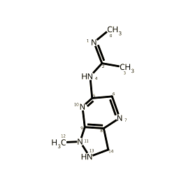 C/N=C(\C)Nc1cnc2c(n1)N(C)NC2